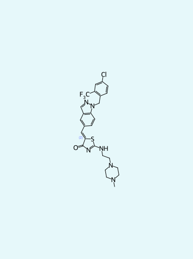 CN1CCN(CCNC2=NC(=O)/C(=C/c3ccc4c(cnn4Cc4ccc(Cl)cc4C(F)(F)F)c3)S2)CC1